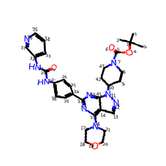 CC(C)(C)OC(=O)N1CCC(n2ncc3c(N4CCOCC4)nc(-c4ccc(NC(=O)Nc5cccnc5)cc4)nc32)CC1